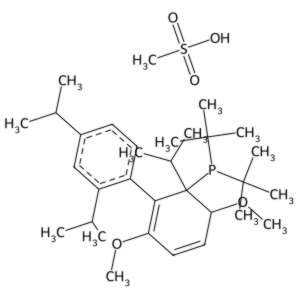 COC1=C(c2ccc(C(C)C)cc2C(C)C)C(C(C)C)(P(C(C)(C)C)C(C)(C)C)C(OC)C=C1.CS(=O)(=O)O